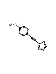 COc1ccc(C#Cc2nccs2)cc1